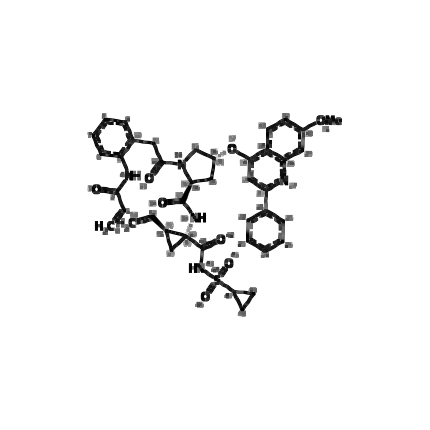 C=CC(=O)Nc1ccccc1CC(=O)N1C[C@H](Oc2cc(-c3ccccc3)nc3cc(OC)ccc23)C[C@H]1C(=O)N[C@]1(C(=O)NS(=O)(=O)C2CC2)C[C@H]1C=C